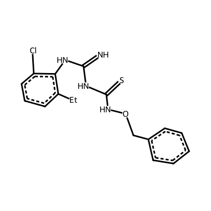 CCc1cccc(Cl)c1NC(=N)NC(=S)NOCc1ccccc1